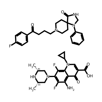 C[C@@H]1CN(c2c(F)c(N)c3c(=O)c(C(=O)O)cn(C4CC4)c3c2F)C[C@H](C)N1.O=C(CCCN1CCC2(CC1)C(=O)NCN2c1ccccc1)c1ccc(F)cc1